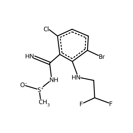 C[S+]([O-])NC(=N)c1c(Cl)ccc(Br)c1NCC(F)F